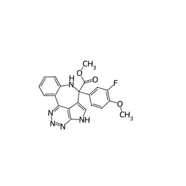 COC(=O)C1(c2ccc(OC)c(F)c2)Nc2ccccc2-c2nnnc3[nH]cc1c23